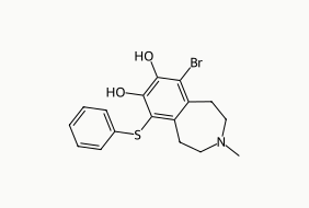 CN1CCc2c(Br)c(O)c(O)c(Sc3ccccc3)c2CC1